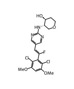 COc1cc(OC)c(Cl)c(/C(F)=C/c2cnc(N[C@H]3COCC[C@@H]3O)nc2)c1Cl